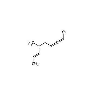 CC=CC(C)CC=C=CCC